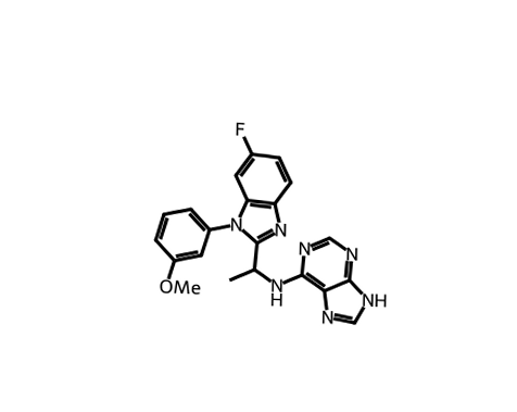 COc1cccc(-n2c(C(C)Nc3ncnc4[nH]cnc34)nc3ccc(F)cc32)c1